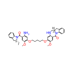 CC[C@@H]1Cc2ccccc2N1C(=O)c1cc(OC)c(OCCCCCOc2cc3c(cc2OC)C(=O)N2c4ccccc4C[C@H]2CN3)cc1N